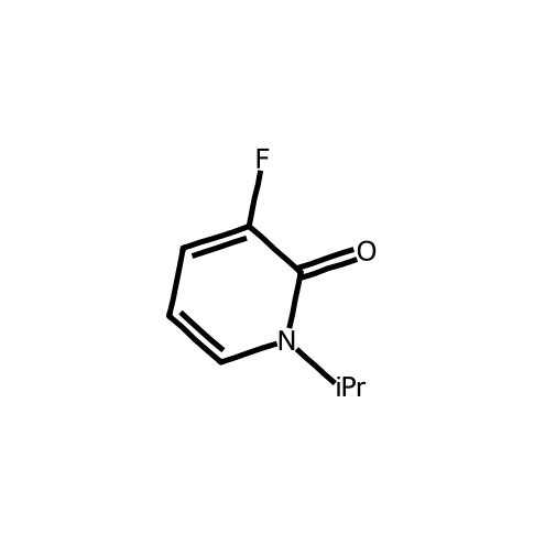 CC(C)n1cccc(F)c1=O